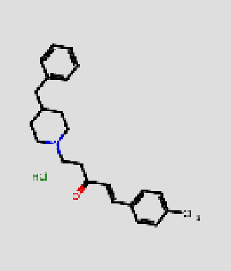 Cc1ccc(C=CC(=O)CCN2CCC(Cc3ccccc3)CC2)cc1.Cl